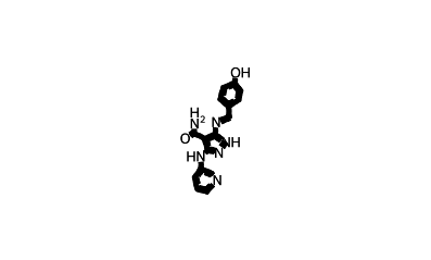 NC(=O)c1c(Nc2cccnc2)n[nH]c1/N=C/c1ccc(O)cc1